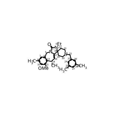 CCN1C(=O)N2Cc3cc(C)cc(OC)c3[C@@H](C)C=C2C12CCN(Cc1cc(C)cc(C)c1)CC2